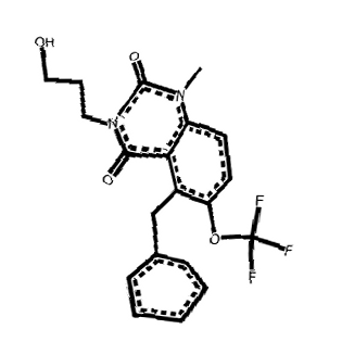 Cn1c(=O)n(CCCO)c(=O)c2c(Cc3ccccc3)c(OC(F)(F)F)ccc21